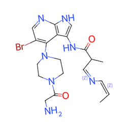 C/C=C\N=C/C(C)C(=O)Nc1c[nH]c2ncc(Br)c(N3CCN(C(=O)CN)CC3)c12